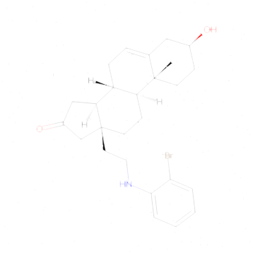 C[C@]12CC[C@H](O)CC1=CC[C@H]1[C@@H]3CC(=O)C[C@@]3(CCNc3ccccc3Br)CC[C@@H]12